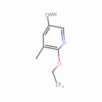 COc1cnc(OCC(F)(F)F)c(C)c1